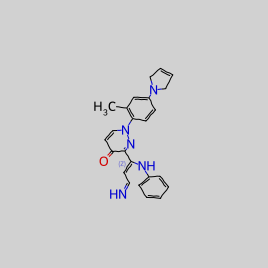 Cc1cc(N2CC=CC2)ccc1-n1ccc(=O)c(/C(=C/C=N)Nc2ccccc2)n1